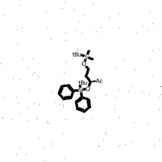 CC(=O)[C@H](CCO[Si](C)(C)C(C)(C)C)O[Si](c1ccccc1)(c1ccccc1)C(C)(C)C